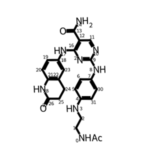 CC(=O)NCCNc1ccc(Nc2ncc(C(N)=O)c(Nc3ccc4c(c3)CCC(=O)N4)n2)cc1